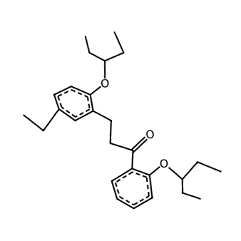 CCc1ccc(OC(CC)CC)c(CCC(=O)c2ccccc2OC(CC)CC)c1